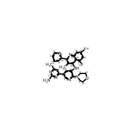 Cc1cc(-c2cnc(N3CCOCC3)c(Nc3c(C)c(-c4ccccn4)nc4cc(F)cc(F)c34)c2)nc(N)n1